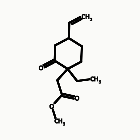 C=CC1CCC(CC)(CC(=O)OC)C(=O)C1